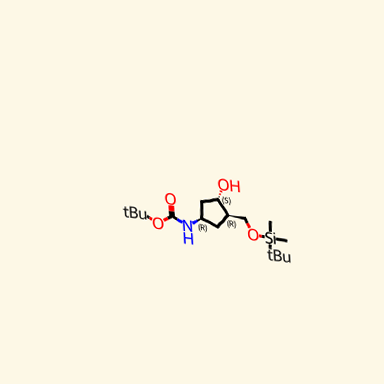 CC(C)(C)OC(=O)N[C@@H]1C[C@H](CO[Si](C)(C)C(C)(C)C)[C@@H](O)C1